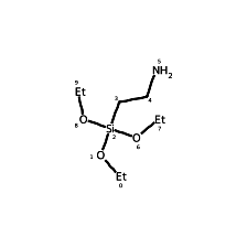 CCO[Si](CCN)(OCC)OCC